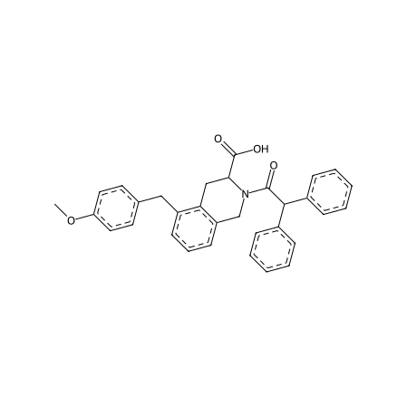 COc1ccc(Cc2cccc3c2CC(C(=O)O)N(C(=O)C(c2ccccc2)c2ccccc2)C3)cc1